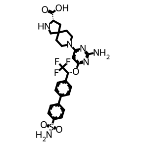 Nc1nc(O[C@H](c2ccc(-c3ccc(S(N)(=O)=O)cc3)cc2)C(F)(F)F)cc(N2CCC3(CC2)CN[C@H](C(=O)O)C3)n1